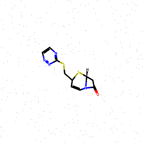 O=C1C[C@H]2SC(CSc3nccnn3)C=CN12